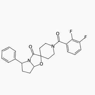 O=C(c1cccc(F)c1F)N1CCC2(CC1)OC1CCC(c3ccccc3)N1C2=O